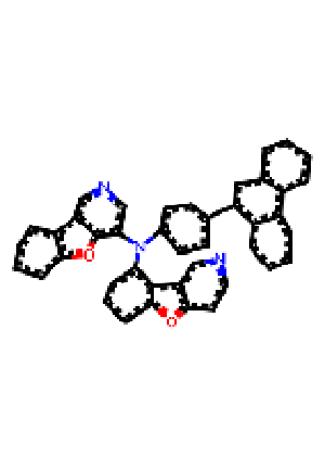 c1ccc2c(c1)cc(-c1ccc(N(c3cncc4c3oc3ccccc34)c3cccc4oc5ccncc5c34)cc1)c1ccccc12